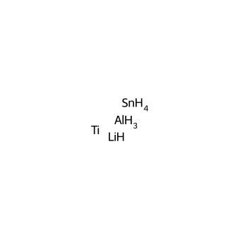 [AlH3].[LiH].[SnH4].[Ti]